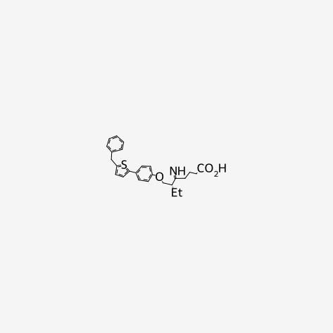 CC[C@H](COc1ccc(-c2ccc(Cc3ccccc3)s2)cc1)C(=N)CCCC(=O)O